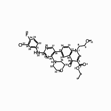 CCOC(=O)c1cn(CCOC)c2ccc(-c3cnc(Nc4ccc(F)c(Cl)c4)nc3N3CCOCC3)cc2c1=O